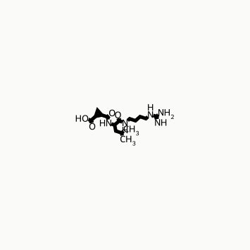 CC(C)CC(NC(=O)C1CC1C(=O)O)C(=O)NCCCCNC(=N)N